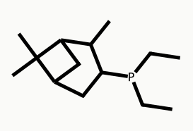 CCP(CC)C1CC2CC(C1C)C2(C)C